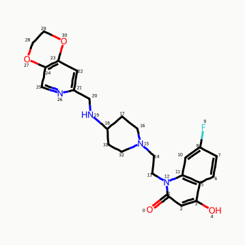 O=c1cc(O)c2ccc(F)cc2n1CCN1CCC(NCc2cc3c(cn2)OCCO3)CC1